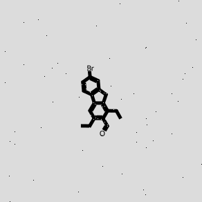 CCc1cc2c(c(CC)c1C=O)Cc1cc(Br)ccc1-2